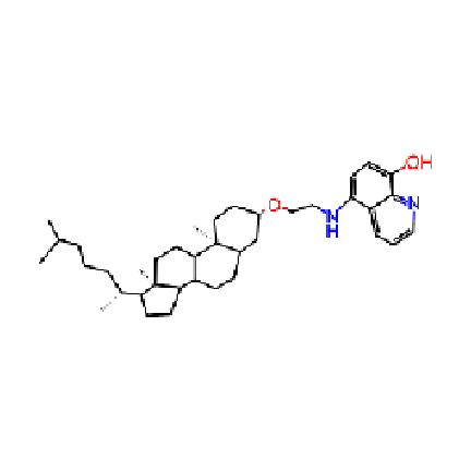 CC(C)CCC[C@@H](C)C1CCC2C3CCC4C[C@@H](OCCNc5ccc(O)c6ncccc56)CC[C@]4(C)C3CC[C@@]21C